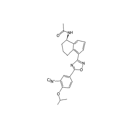 [C-]#[N+]c1cc(-c2nc(-c3cccc4c3CCC[C@H]4NC(C)=O)no2)ccc1OC(C)C